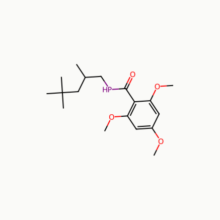 COc1cc(OC)c(C(=O)PCC(C)CC(C)(C)C)c(OC)c1